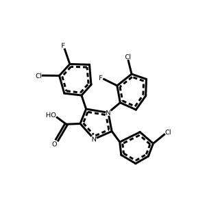 O=C(O)c1nc(-c2cccc(Cl)c2)n(-c2cccc(Cl)c2F)c1-c1ccc(F)c(Cl)c1